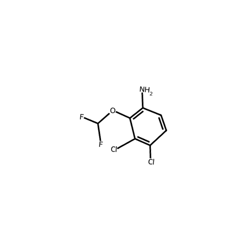 Nc1ccc(Cl)c(Cl)c1OC(F)F